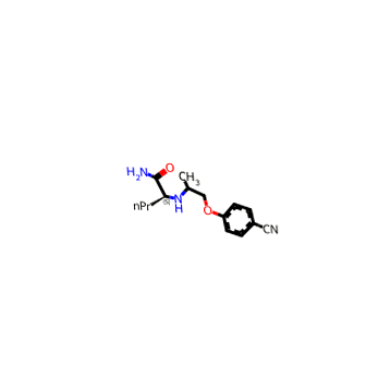 CCC[C@H](NC(C)COc1ccc(C#N)cc1)C(N)=O